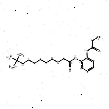 CCC(=O)Oc1ccccc1OC(=O)CCCCCCCCC(C)(C)C